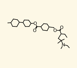 CCC(CC(C)(C)N(C)CC)C(=O)OCC1CCC(C(=O)OC2CCC(C3CCC(C)CC3)CC2)CC1